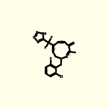 C=C1/C=C\C(C(F)(F)c2nnn[nH]2)=C/CN(Cc2c(F)cccc2Cl)/N=C\1C